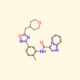 Cc1ccc(-c2noc(CC3CCOCC3)n2)cc1NC(=O)c1cnc2ccccn12